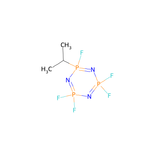 CC(C)P1(F)=NP(F)(F)=NP(F)(F)=N1